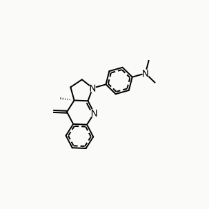 C=C1c2ccccc2N=C2N(c3ccc(N(C)C)cc3)CC[C@]12C